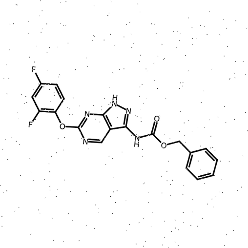 O=C(Nc1n[nH]c2nc(Oc3ccc(F)cc3F)ncc12)OCc1ccccc1